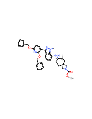 C[C@@H]1CC2(CC[C@H]1Nc1cccc3c(-c4ccc(OCc5ccccc5)nc4OCc4ccccc4)nn(C)c13)CN(C(=O)OC(C)(C)C)C2